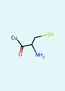 NC(CS)[C](=O)[Cu]